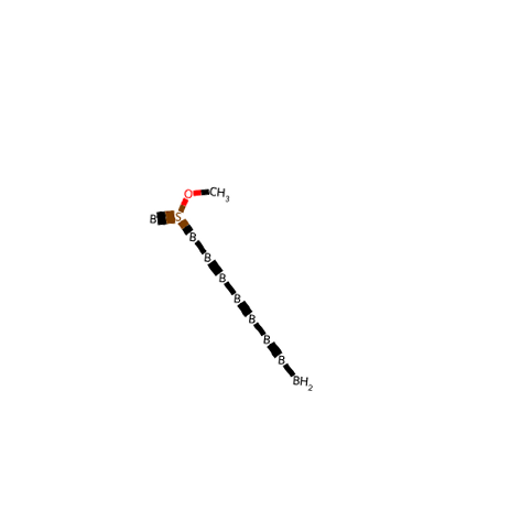 B#S(=BB=BB=BB=BB)OC